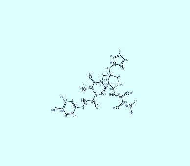 Cc1cc(CNC(=O)c2nc3n(c(=O)c2O)CC2(Cn4cncn4)CCC3(NC(=O)C(=O)N(C)C)CC2)ccc1F